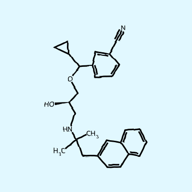 CC(C)(Cc1ccc2ccccc2c1)NC[C@@H](O)COC(c1cccc(C#N)c1)C1CC1